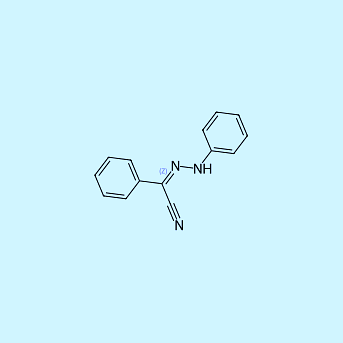 N#C/C(=N\Nc1ccccc1)c1ccccc1